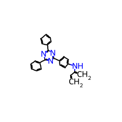 C=CC(=C)Nc1ccc(-c2nc(-c3ccccc3)nc(-c3ccccc3)n2)cc1